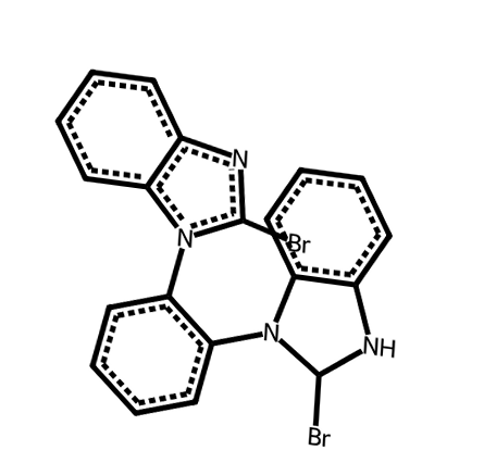 Brc1nc2ccccc2n1-c1ccccc1N1c2ccccc2NC1Br